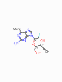 C#C[C@H](O)[C@@H](CO)O[C@H](CF)n1cnc2c(NC)nc(N)nc21